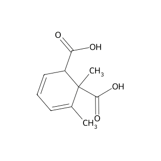 CC1=CC=CC(C(=O)O)C1(C)C(=O)O